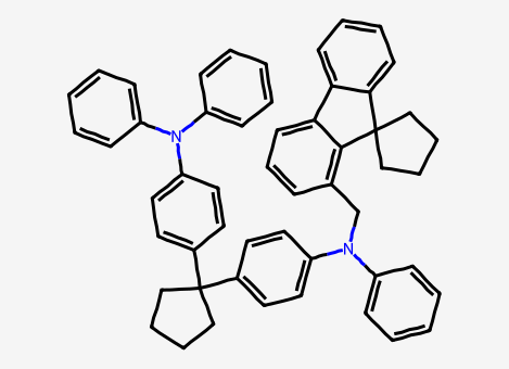 c1ccc(N(Cc2cccc3c2C2(CCCC2)c2ccccc2-3)c2ccc(C3(c4ccc(N(c5ccccc5)c5ccccc5)cc4)CCCC3)cc2)cc1